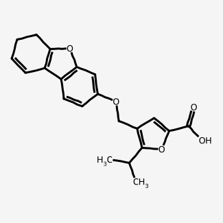 CC(C)c1oc(C(=O)O)cc1COc1ccc2c3c(oc2c1)CCC=C3